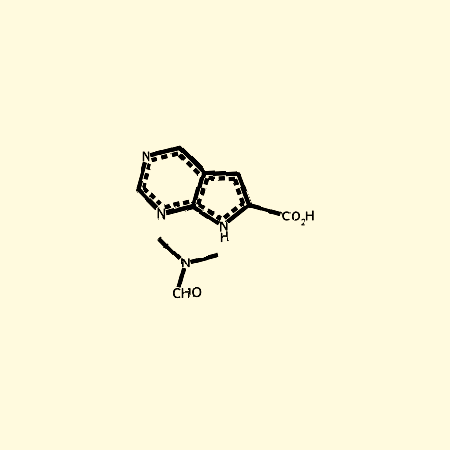 CN(C)C=O.O=C(O)c1cc2cncnc2[nH]1